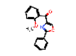 COc1ccccc1C(=O)c1coc(-c2ccccc2)n1